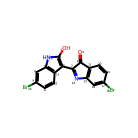 O=C1C(c2c(O)[nH]c3cc(Br)ccc23)=Nc2cc(Br)ccc21